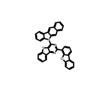 c1ccc2cc3c(cc2c1)c1ccccc1n3-c1nc(-c2cccc3c2oc2ccccc23)nc2c1sc1ccccc12